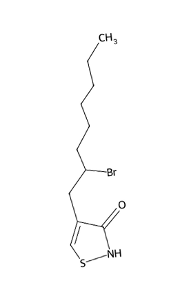 CCCCCCC(Br)Cc1cs[nH]c1=O